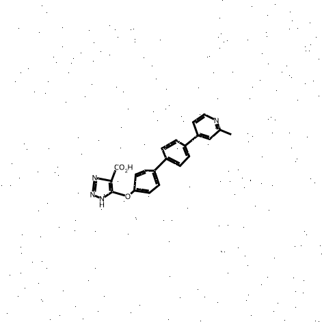 Cc1cc(-c2ccc(-c3ccc(Oc4[nH]nnc4C(=O)O)cc3)cc2)ccn1